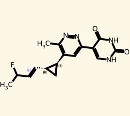 Cc1nnc(-c2c[nH]c(=O)[nH]c2=O)cc1[C@H]1C[C@@H]1/C=C/C(C)F